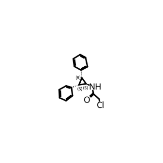 O=C(CCl)N[C@@H]1[C@@H](c2ccccc2)[C@H]1c1ccccc1